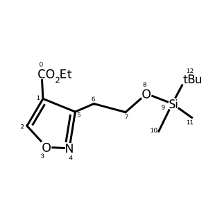 CCOC(=O)c1conc1CCO[Si](C)(C)C(C)(C)C